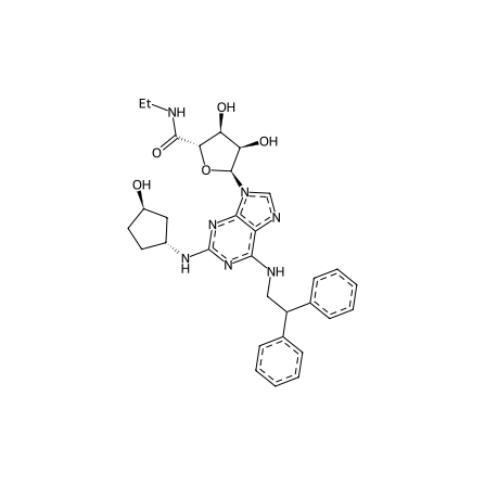 CCNC(=O)[C@H]1O[C@H](n2cnc3c(NCC(c4ccccc4)c4ccccc4)nc(N[C@@H]4CC[C@@H](O)C4)nc32)[C@H](O)[C@@H]1O